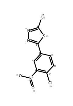 O=[N+]([O-])c1cc(-c2nnc(S)s2)ccc1Cl